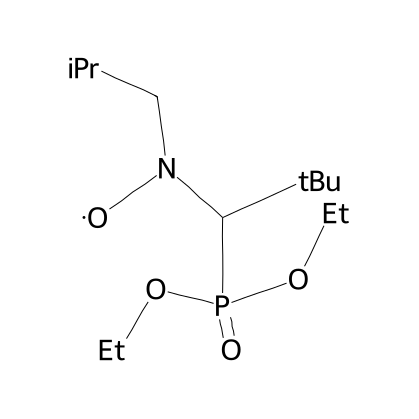 CCOP(=O)(OCC)C(N([O])CC(C)C)C(C)(C)C